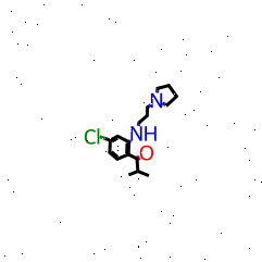 CC(C)C(=O)c1ccc(Cl)cc1NCCCN1CCCC1